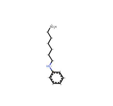 O=S(=O)(O)CCCCCCNc1ccccc1